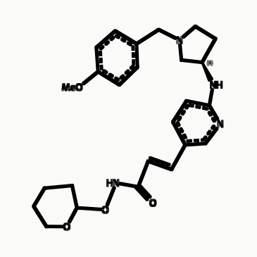 COc1ccc(CN2CC[C@@H](Nc3ccc(C=CC(=O)NOC4CCCCO4)cn3)C2)cc1